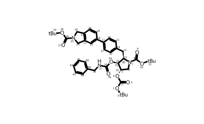 CC(C)(C)OC(=O)O[C@H]1CN(C(=O)OC(C)(C)C)[C@H](Cc2ccc(-c3ccc4c(c3)CN(C(=O)OC(C)(C)C)C4)cc2)[C@@H]1OC(=O)NCc1ccccc1